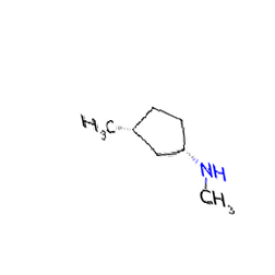 CN[C@H]1CC[C@@H](C)C1